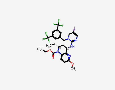 CCOC(=O)N1c2ccc(OC)nc2[C@@H](NC2=NC=C(I)CN2Cc2cc(C(F)(F)F)cc(C(F)(F)F)c2)C[C@H]1CC